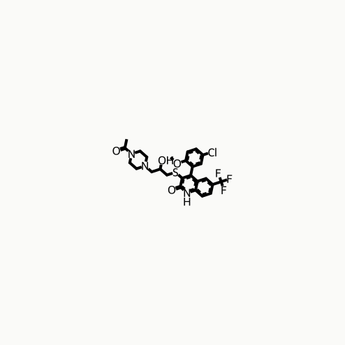 COc1ccc(Cl)cc1-c1c(SCC(O)CN2CCN(C(C)=O)CC2)c(=O)[nH]c2ccc(C(F)(F)F)cc12